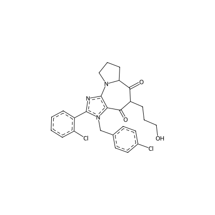 O=C1c2c(nc(-c3ccccc3Cl)n2Cc2ccc(Cl)cc2)N2CCCC2C(=O)C1CCCO